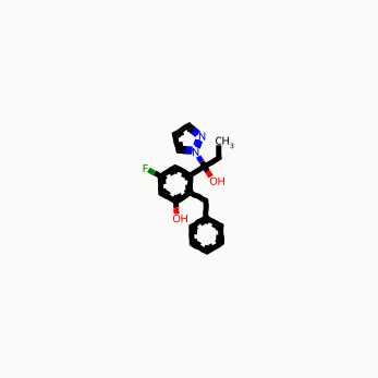 CCC(O)(c1cc(F)cc(O)c1Cc1ccccc1)n1cccn1